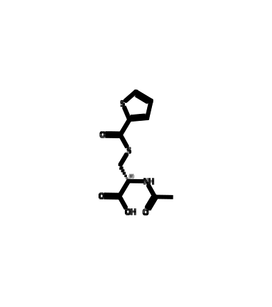 CC(=O)N[C@@H](CSC(=O)c1cccs1)C(=O)O